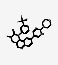 CN1Cc2cnc3ccc(C4=CNC(N5CCOCC5)N=C4)nc3c2N(c2cccc(C(F)(F)F)c2)C1=O